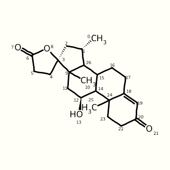 C[C@H]1C[C@@]2(CCC(=O)O2)C2(C)C[C@H](O)C3C(CCC4=CC(=O)CCC43C)C12